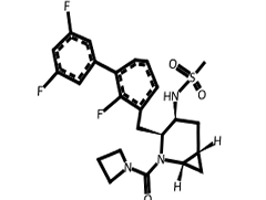 CS(=O)(=O)N[C@H]1C[C@@H]2C[C@@H]2N(C(=O)N2CCC2)[C@H]1Cc1cccc(-c2cc(F)cc(F)c2)c1F